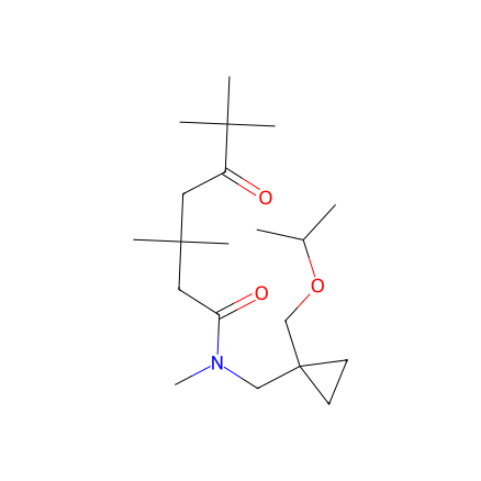 CC(C)OCC1(CN(C)C(=O)CC(C)(C)CC(=O)C(C)(C)C)CC1